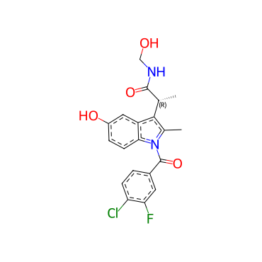 Cc1c([C@@H](C)C(=O)NCO)c2cc(O)ccc2n1C(=O)c1ccc(Cl)c(F)c1